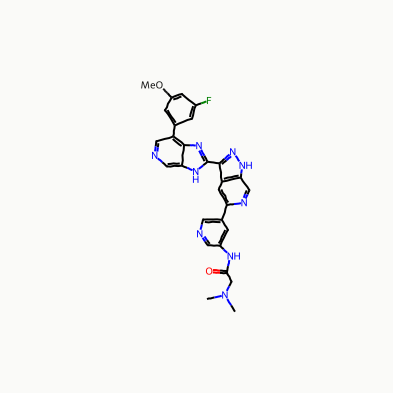 COc1cc(F)cc(-c2cncc3[nH]c(-c4n[nH]c5cnc(-c6cncc(NC(=O)CN(C)C)c6)cc45)nc23)c1